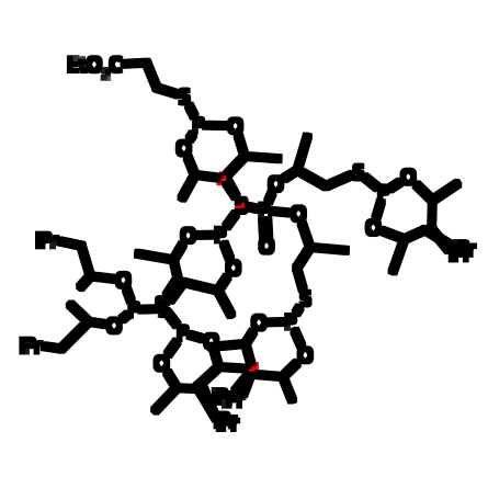 CCOC(=O)CCSP(OC(C)CSP(OC(C)CSP(OC(C)CC(C)C)OC(C)CC(C)C)OC(C)CSP(OC(C)CC(C)C)OC(C)CC(C)C)OC(C)CSP(=O)(OC(C)CSP(OC(C)CC(C)C)OC(C)CC(C)C)OC(C)CSP(OC(C)CC(C)C)OC(C)CC(C)C